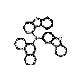 c1ccc2c(c1)cc(N(c1ccc3oc4ccccc4c3c1)c1cccc3sc4ccccc4c13)c1ccccc12